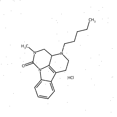 CCCCCN1CCc2c3n(c4ccccc24)C(=O)N(C)CC31.Cl